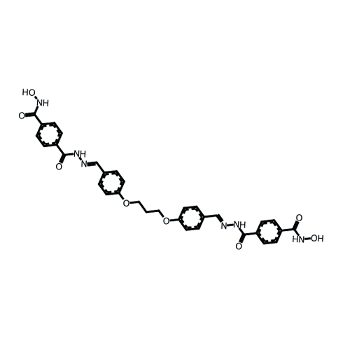 O=C(NO)c1ccc(C(=O)N/N=C/c2ccc(OCCCOc3ccc(/C=N/NC(=O)c4ccc(C(=O)NO)cc4)cc3)cc2)cc1